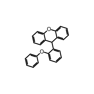 c1ccc(Oc2ccccc2C2c3ccccc3Oc3ccccc32)cc1